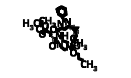 CCCCOC(=O)N1CCN(C(=O)[C@H](CCC(=O)OC(C)(C)C)NC(=O)c2cc([C@@H]3C[C@H]3COC)nc(-c3ccccc3)n2)CC1